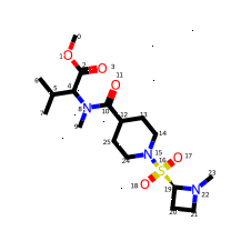 COC(=O)C(C(C)C)N(C)C(=O)C1CCN(S(=O)(=O)[C@@H]2CCN2C)CC1